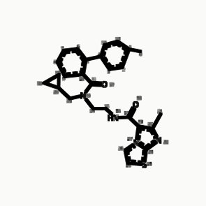 Cc1ccc(-c2ccccc2C(=O)N(CCNC(=O)c2c(C)nc3sccn23)CC2CC2)cc1